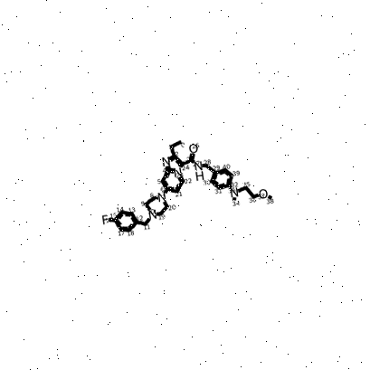 CCc1nc2cc(N3CCN(Cc4ccc(F)cc4)CC3)ccn2c1C(=O)NCc1ccc(N(C)CCOC)cc1